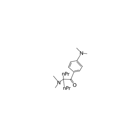 CCCC(CCC)(C(=O)c1ccc(N(C)C)cc1)N(C)C